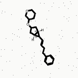 C(=CC1[C@H]2CC(OC3CCCOC3)C[C@@H]12)CCc1ccccc1